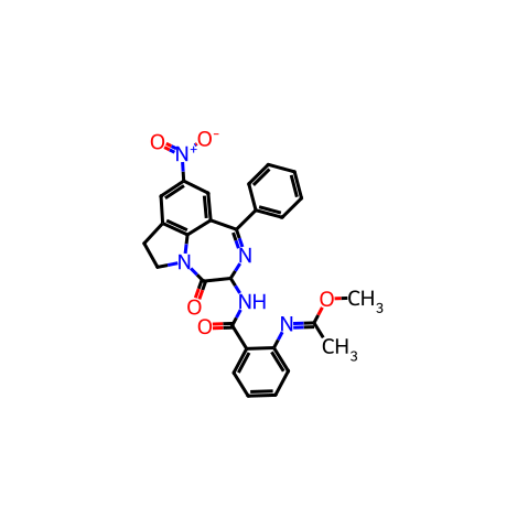 CO/C(C)=N/c1ccccc1C(=O)NC1N=C(c2ccccc2)c2cc([N+](=O)[O-])cc3c2N(CC3)C1=O